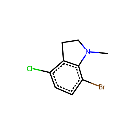 CN1CCc2c(Cl)ccc(Br)c21